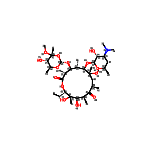 CC[C@@H]1OC(=O)[C@H](C)[C@@H](O[C@@H]2O[C@@H](C)[C@H](O)[C@](C)(OC)O2)[C@H](C)[C@@H](O[C@@H]2O[C@H](C)C[C@H](N(C)C)[C@H]2O)[C@](C)(OC)C[C@@H](C)C(=O)[C@@H](C)[C@@H](O)[C@]1(C)O